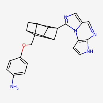 Nc1ccc(OCC23C4C5C2C2C3C4C52c2ncc3cnc4[nH]ccc4n23)cc1